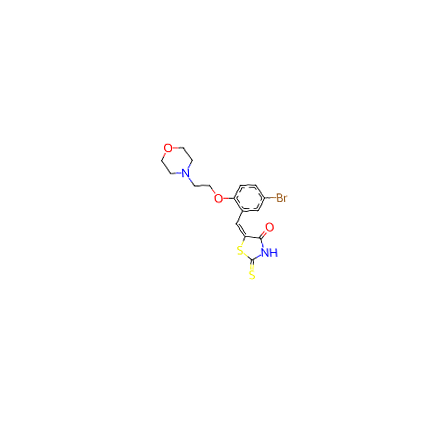 O=C1NC(=S)SC1=Cc1cc(Br)ccc1OCCN1CCOCC1